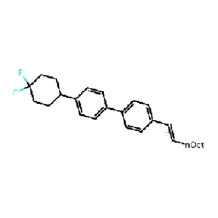 CCCCCCCC/C=C/c1ccc(-c2ccc(C3CCC(F)(F)CC3)cc2)cc1